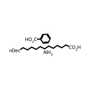 CCCCCCCCCCCCCCCCCCCCCC(=O)O.O=C(O)c1ccccc1.[AlH3]